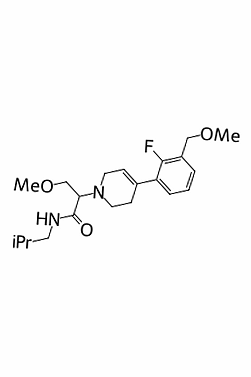 COCc1cccc(C2=CCN(C(COC)C(=O)NCC(C)C)CC2)c1F